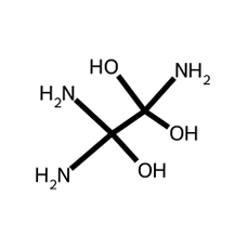 NC(N)(O)C(N)(O)O